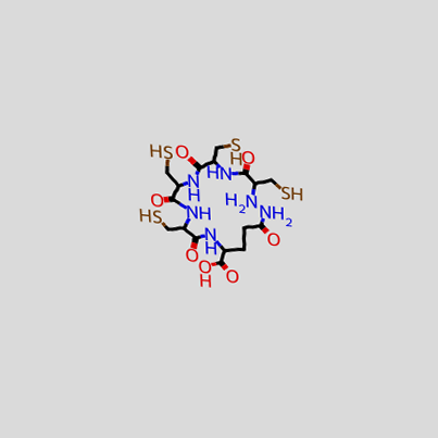 NC(=O)CCC(NC(=O)C(CS)NC(=O)C(CS)NC(=O)C(CS)NC(=O)C(N)CS)C(=O)O